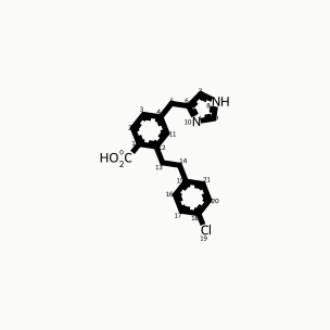 O=C(O)c1ccc(Cc2c[nH]cn2)cc1CCc1ccc(Cl)cc1